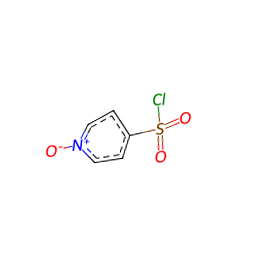 O=S(=O)(Cl)c1cc[n+]([O-])cc1